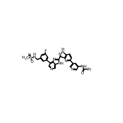 CC(C)C(=O)Nc1cncc(-c2ccc3[nH]nc(-c4nc5c(-c6cc(F)cc(CNS(C)(=O)=O)c6)cncc5[nH]4)c3n2)c1